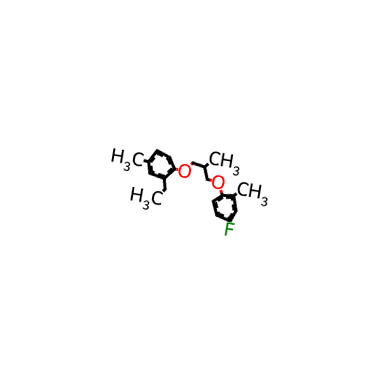 CCc1cc(C)ccc1OCC(C)COc1ccc(F)cc1C